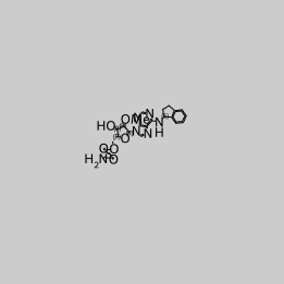 CO[C@@H]1[C@H](O)[C@@H](COS(N)(=O)=O)O[C@H]1n1cnc2c(N[C@H]3CCc4ccccc43)ncnc21